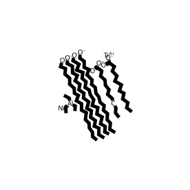 CCCCCCCCCCCC(=O)[O-].CCCCCCCCCCCC(=O)[O-].CCCCCCCCCCCCCCCCCC[O-].CCCCCCCCCCCCCCCCCC[O-].CCCCCCCCCCCCCCCCCC[O-].CCCCCCCCCCCCCCCCCC[O-].C[CH2][Al]([CH2]C)[CH2]C.[Ni+2].[Ti+4]